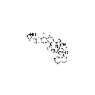 CN(C(=O)c1c[nH]c2c(F)c(CNc3ncc[nH]3)c(F)cc2c1=O)C(C)(NS(=O)(=O)c1cccc2ccccc12)C(=O)O